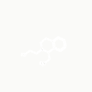 NCC1c2ccccc2CCN1CCO